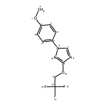 COc1ccc(-n2cnc(OCC(F)(F)F)n2)cc1